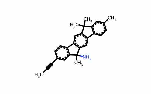 CC#Cc1ccc2c(c1)C(C)(N)c1cc3c(cc1-2)C(C)(C)c1cc(C)ccc1-3